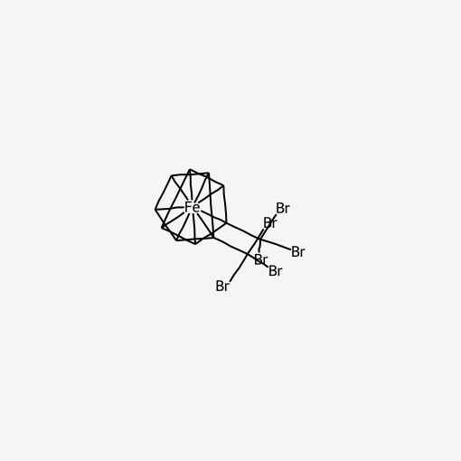 BrC(Br)(Br)[C]12[CH]3[CH]4[CH]5[CH]1[Fe]45321678[CH]2[CH]1[CH]6[C]7(C(Br)(Br)Br)[CH]28